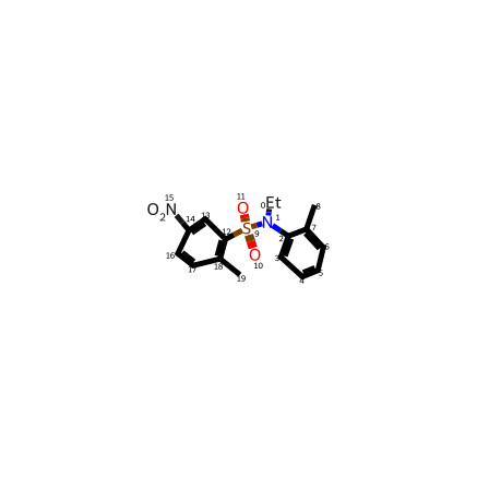 CCN(c1ccccc1C)S(=O)(=O)c1cc([N+](=O)[O-])ccc1C